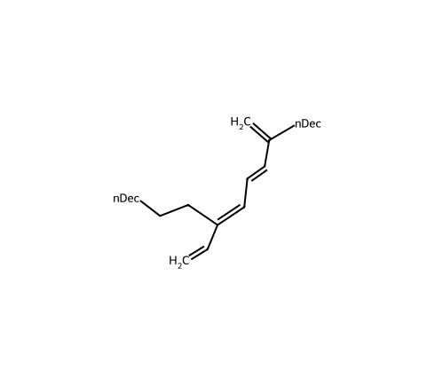 C=CC(=CC=CC(=C)CCCCCCCCCC)CCCCCCCCCCCC